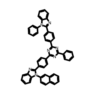 c1ccc(-c2nc(-c3ccc(-c4nc5ccccc5n4-c4ccccc4)cc3)nc(-c3ccc(-c4nc5ccccc5n4-c4ccc5ccccc5c4)cc3)n2)cc1